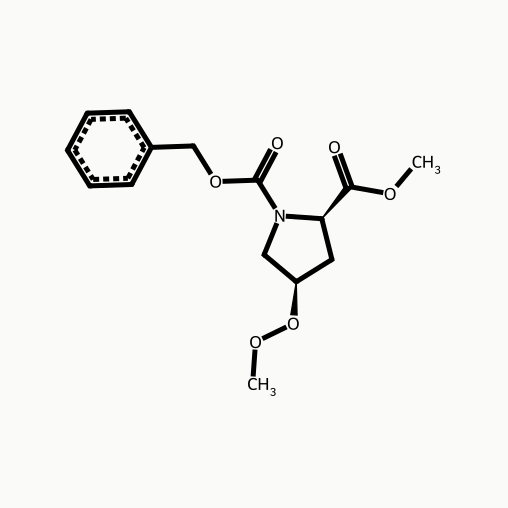 COO[C@@H]1C[C@H](C(=O)OC)N(C(=O)OCc2ccccc2)C1